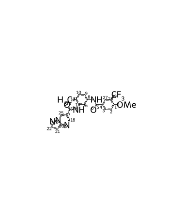 COc1ccc(C(=O)Nc2ccc(C)c(NC(=O)c3cnc4ccnn4c3)c2)cc1C(F)(F)F